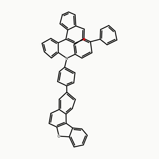 c1ccc(-c2ccc(N(c3ccc(-c4ccc5c(ccc6oc7ccccc7c65)c4)cc3)c3ccccc3-c3cccc4ccccc34)cc2)cc1